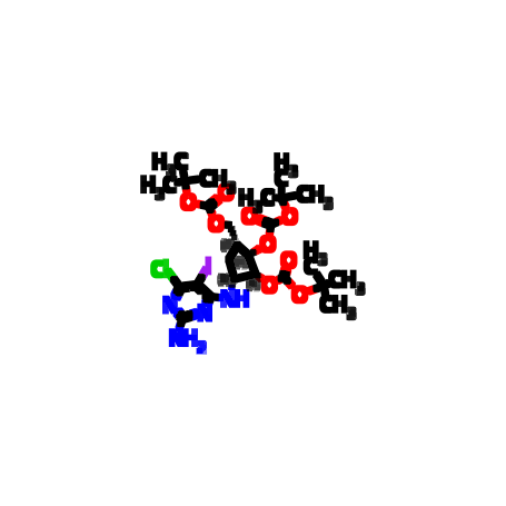 CC(C)(C)OC(=O)OC[C@H]1C[C@@H](Nc2nc(N)nc(Cl)c2I)[C@H](OC(=O)OC(C)(C)C)[C@@H]1OC(=O)OC(C)(C)C